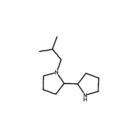 CC(C)CN1CCCC1C1CCCN1